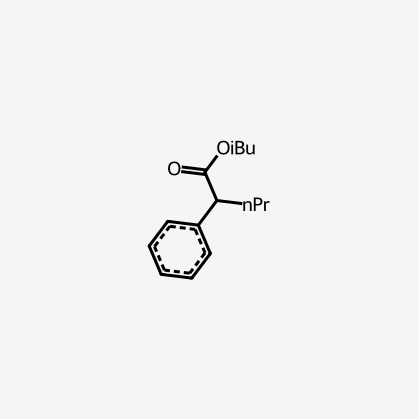 CCCC(C(=O)OCC(C)C)c1ccccc1